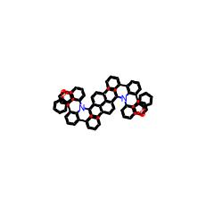 c1ccc(-c2cccc(-c3ccccc3)c2N(c2ccc3ccc4c(N(c5c(-c6ccccc6)cccc5-c5ccccc5)c5cccc6oc7ccccc7c56)ccc5ccc2c3c54)c2cccc3oc4ccccc4c23)cc1